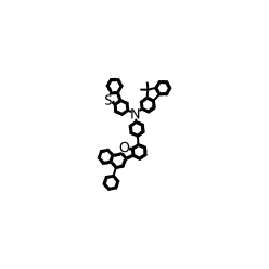 CC1(C)c2ccccc2-c2ccc(N(c3ccc(-c4cccc5c4oc4c6ccccc6c(-c6ccccc6)cc54)cc3)c3ccc4sc5ccccc5c4c3)cc21